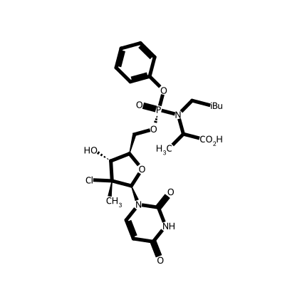 CCC(C)CN(C(C)C(=O)O)[P@](=O)(OC[C@H]1O[C@@H](n2ccc(=O)[nH]c2=O)[C@](C)(Cl)[C@@H]1O)Oc1ccccc1